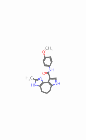 COc1ccc(NC(=O)c2c[nH]c3c2-c2nc(C)[nH]c2CCC3)cc1